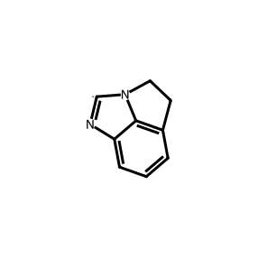 [c]1nc2cccc3c2n1CC3